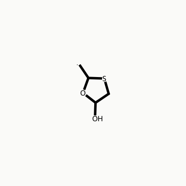 [CH2]C1OC(O)CS1